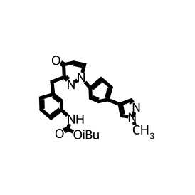 CC(C)COC(=O)Nc1cccc(Cc2nn(-c3ccc(-c4cnn(C)c4)cc3)ccc2=O)c1